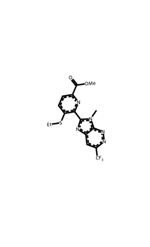 CCSc1ccc(C(=O)OC)nc1-c1nc2cc(C(F)(F)F)nnc2n1C